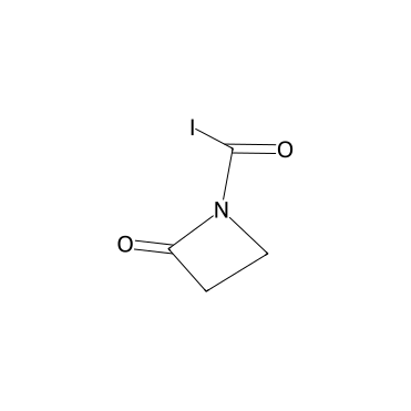 O=C(I)N1CCC1=O